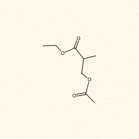 CCOC(=O)C(C)COC(C)=O